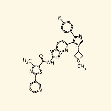 Cc1nc(-c2cccnc2)sc1C(=O)Nc1cn2nc(-c3c(-c4ccc(F)cc4)ncn3C3CN(C)C3)ccc2n1